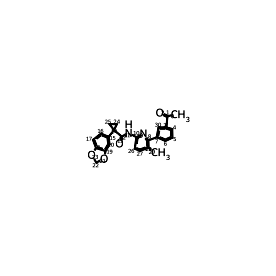 CC(=O)c1cccc(-c2nc(NC(=O)C3(c4ccc5c(c4)OCO5)CC3)ccc2C)c1